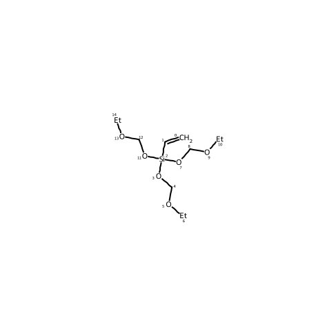 C=C[Si](OCOCC)(OCOCC)OCOCC